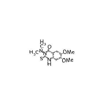 COc1cc2[nH]c(=S)n(N(C)C)c(=O)c2cc1OC